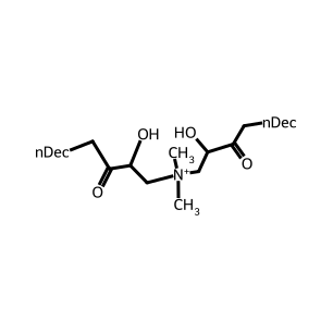 CCCCCCCCCCCC(=O)C(O)C[N+](C)(C)CC(O)C(=O)CCCCCCCCCCC